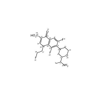 CC(N)C1CN(c2c(F)cc3c(=O)c(C(=O)O)cn(CCF)c3c2F)CCO1